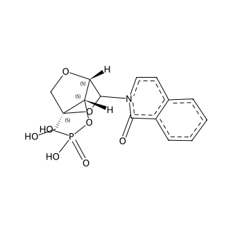 O=c1c2ccccc2ccn1C1O[C@@]2(CO)CO[C@H]1[C@@H]2OP(=O)(O)O